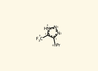 CCCc1nn[nH]c1C(F)(F)F